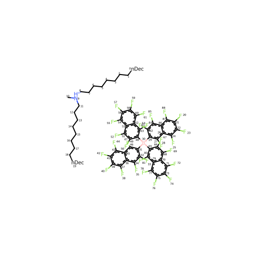 CCCCCCCCCCCCCCCCCC[NH+](C)CCCCCCCCCCCCCCCCCC.Fc1c(F)c(F)c2c(F)c([B-](c3c(F)c(F)c4c(F)c(F)c(F)c(F)c4c3F)(c3c(F)c(F)c4c(F)c(F)c(F)c(F)c4c3F)c3c(F)c(F)c4c(F)c(F)c(F)c(F)c4c3F)c(F)c(F)c2c1F